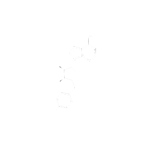 Cc1ccnc2c1ccn2[C@@H]1O[C@H]([C@H](O)c2ccc(F)cc2)[C@@H](O)[C@H]1O